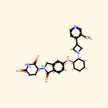 Cc1cnccc1C1CN([C@@H]2CCCC[C@H]2Oc2ccc3c(c2)CN([C@H]2CCC(=O)NC2=O)C3=O)C1